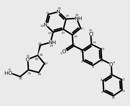 O=C(c1ccc(Oc2ccccc2)cc1Cl)c1c[nH]c2ncnc(NC[C@H]3CCC(CO)O3)c12